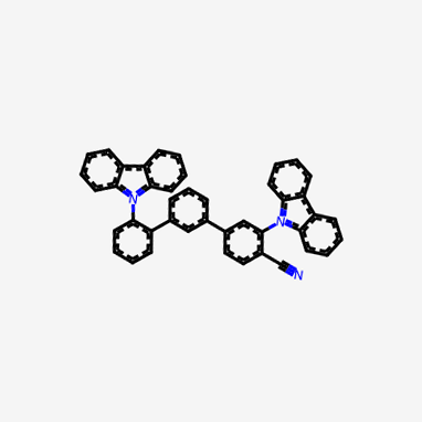 N#Cc1ccc(-c2cccc(-c3ccccc3-n3c4ccccc4c4ccccc43)c2)cc1-n1c2ccccc2c2ccccc21